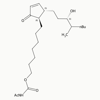 CCCCC(C)[C@@H](O)CC[C@H]1C=CC(=O)[C@@H]1CCCCCCCOC(=O)NC(C)=O